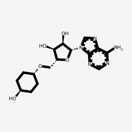 Nc1ncnc2c1ncn2[C@@H]1O[C@H](CO[C@H]2CC[C@H](O)CC2)[C@@H](O)[C@H]1O